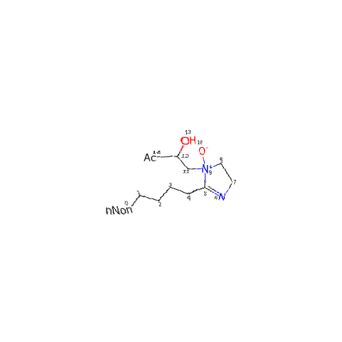 CCCCCCCCCCCCCC1=NCC[N+]1([O-])CC(O)C(C)=O